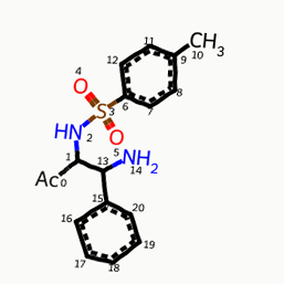 CC(=O)C(NS(=O)(=O)c1ccc(C)cc1)C(N)c1ccccc1